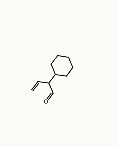 C=CC(C=O)C1CCCCC1